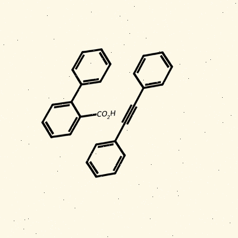 C(#Cc1ccccc1)c1ccccc1.O=C(O)c1ccccc1-c1ccccc1